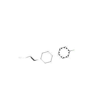 COC=C[C@H]1CC[C@H](c2ccc(Cl)cc2)CC1